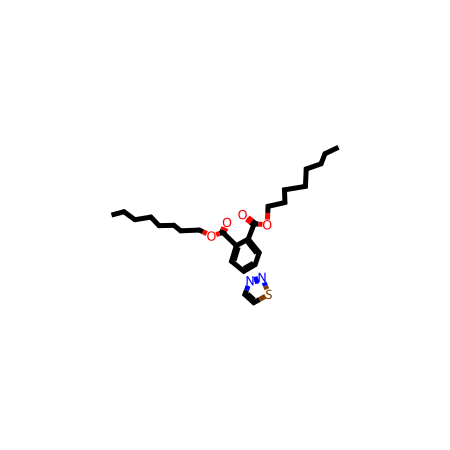 CCCCCCCCOC(=O)c1ccccc1C(=O)OCCCCCCCC.c1csnn1